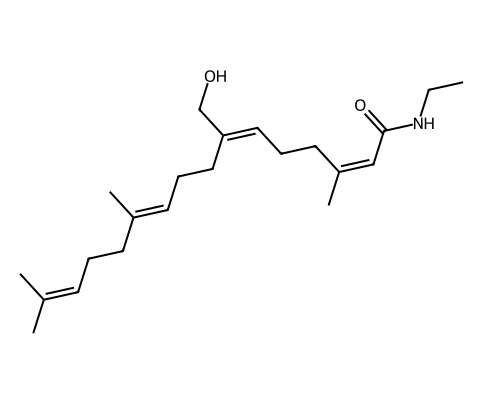 CCNC(=O)/C=C(/C)CC/C=C(/CO)CC/C=C(\C)CCC=C(C)C